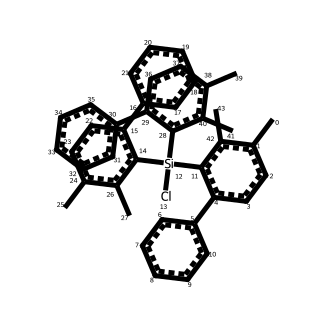 Cc1ccc(-c2ccccc2)c([Si](Cl)(c2c(-c3ccccc3)ccc(C)c2C)c2c(-c3ccccc3)ccc(C)c2C)c1C